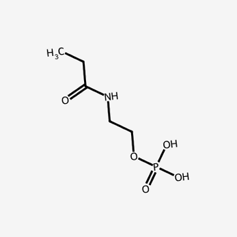 CCC(=O)NCCOP(=O)(O)O